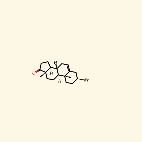 CCC[C@H]1CC[C@@]2(C)C(=CC[C@@H]3[C@@H]2CC[C@]2(C)C(=O)CC[C@@H]32)C1